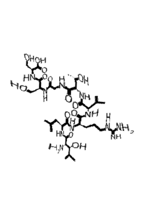 CC(C)C[C@H](NC(=O)[C@@H](N)[C@H](O)C(C)C)C(=O)N[C@H](CCCNC(=N)N)C(=O)N[C@H](C(=O)N[C@H](C(=O)NCC(=O)N[C@@H](CO)C(=O)N[C@@H](CO)C(=O)O)[C@H](C)O)C(C)C